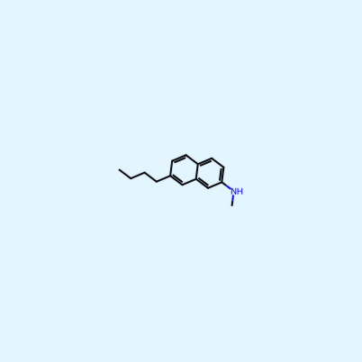 CCCCc1ccc2ccc(NC)cc2c1